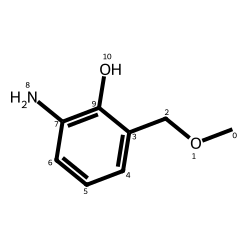 COCc1cccc(N)c1O